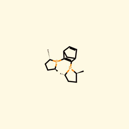 C[C@H]1CC[C@H](C)P1C1=C(P2[C@@H](C)CC[C@@H]2C)C2C=CC1C2